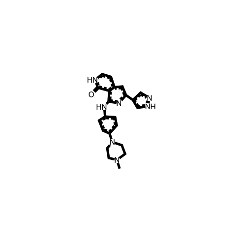 CN1CCN(c2ccc(Nc3nc(-c4cn[nH]c4)cc4cc[nH]c(=O)c34)cc2)CC1